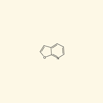 c1cnc2occc2c1